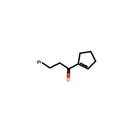 CC(C)CCC(=O)C1=CCCC1